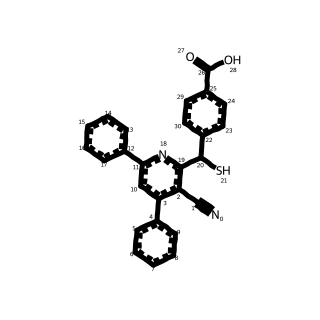 N#Cc1c(-c2ccccc2)cc(-c2ccccc2)nc1C(S)c1ccc(C(=O)O)cc1